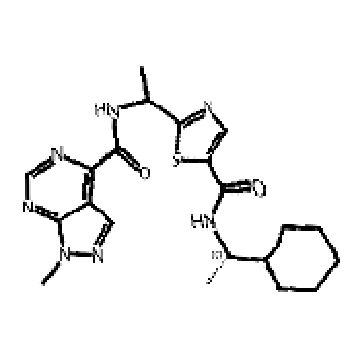 CC(NC(=O)c1ncnc2c1cnn2C)c1ncc(C(=O)N[C@@H](C)C2CCCCC2)s1